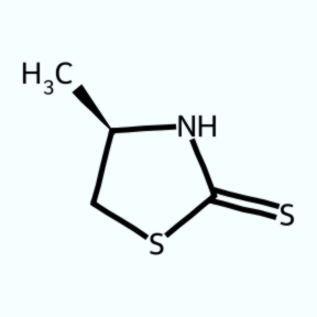 C[C@@H]1CSC(=S)N1